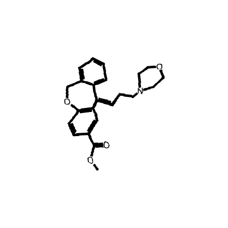 COC(=O)c1ccc2c(c1)/C(=C/CCN1CCOCC1)c1ccccc1CO2